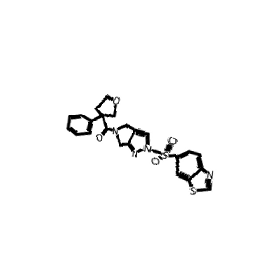 O=C(N1Cc2cn(S(=O)(=O)c3ccc4ncsc4c3)nc2C1)C1(c2ccccc2)CCOC1